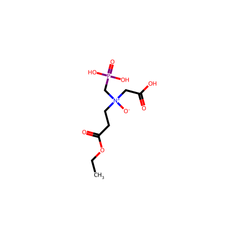 CCOC(=O)CC[N+]([O-])(CC(=O)O)CP(=O)(O)O